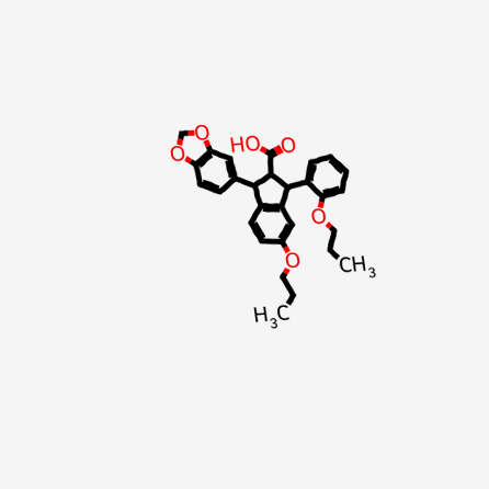 CCCOc1ccc2c(c1)C(c1ccccc1OCCC)C(C(=O)O)C2c1ccc2c(c1)OCO2